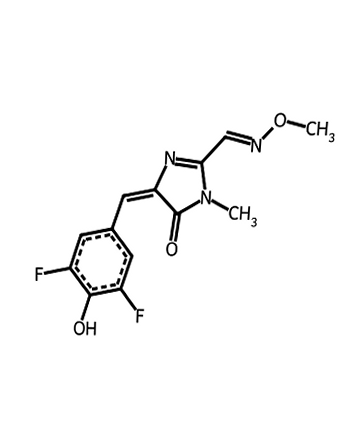 CON=CC1=N/C(=C/c2cc(F)c(O)c(F)c2)C(=O)N1C